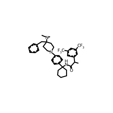 CC(C(=O)NC1(c2ccc(N3CCC(Cc4ccccc4)(N(C)C)CC3)cc2)CCCCC1)c1cc(C(F)(F)F)cc(C(F)(F)F)c1